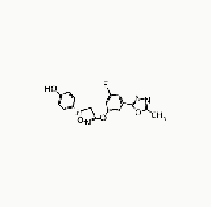 Cc1nnc(-c2cc(F)cc(OC3=NO[C@H](c4ccc(O)cc4)C3)c2)o1